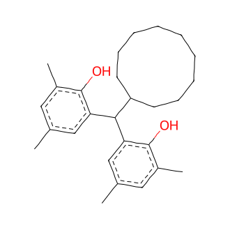 Cc1cc(C)c(O)c(C(c2cc(C)cc(C)c2O)C2CCCCCCCCC2)c1